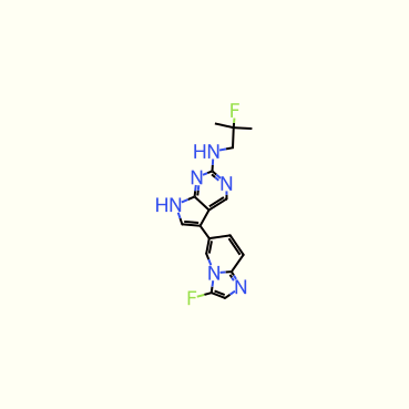 CC(C)(F)CNc1ncc2c(-c3ccc4ncc(F)n4c3)c[nH]c2n1